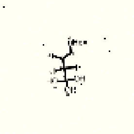 CCCCCCCC(I)C(I)(I)C(O)(O)O